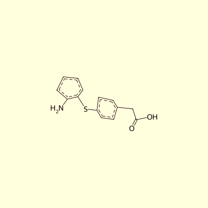 Nc1ccccc1Sc1ccc(CC(=O)O)cc1